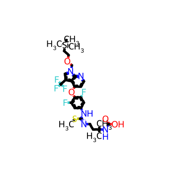 CS/C(=N/CCC(C)(C)NC(=O)O)Nc1cc(F)c(Oc2ccnc3c2c(C(F)(F)F)cn3COCC[Si](C)(C)C)c(F)c1